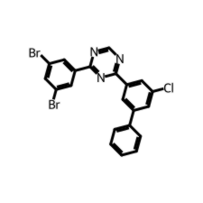 Clc1cc(-c2ccccc2)cc(-c2ncnc(-c3cc(Br)cc(Br)c3)n2)c1